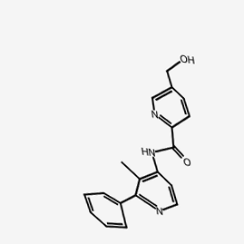 Cc1c(NC(=O)c2ccc(CO)cn2)ccnc1-c1ccccc1